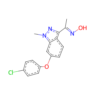 CC(=NO)c1nn(C)c2cc(Oc3ccc(Cl)cc3)ccc12